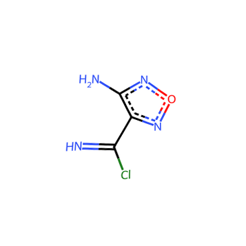 N=C(Cl)c1nonc1N